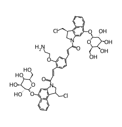 NCCOc1cc(/C=C/C(=O)N2C[C@@H](CCl)c3c2cc(O[C@@H]2O[C@H](CO)[C@H](O)[C@H](O)[C@H]2O)c2ccccc32)ccc1/C=C/C(=O)N1CC(CCl)c2c1cc(O[C@@H]1O[C@H](CO)[C@H](O)[C@H](O)[C@H]1O)c1ccccc21